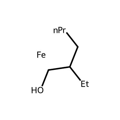 CCCCC(CC)CO.[Fe]